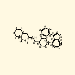 CN1CCCCC1CCNCC1CCN(c2ncnc3scc(-c4ccccc4)c23)CC1